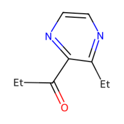 CCC(=O)c1nccnc1CC